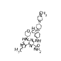 Cc1cc(-c2nc(C(N)=O)c(Nc3ccc(N4CCC(N5CCN(C)CC5)CC4)c(C)c3)nc2NC2CCOCC2)sn1